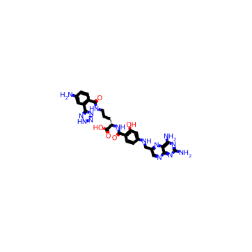 Nc1ccc(C(=O)NCCC[C@H](NC(=O)c2ccc(NCc3cnc4nc(N)nc(N)c4n3)cc2O)C(=O)O)c(-c2nn[nH]n2)c1